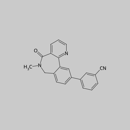 CN1Cc2ccc(-c3cccc(C#N)c3)cc2-c2ncccc2C1=O